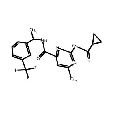 Cc1cc(C(=O)NC(C)c2cccc(C(F)(F)F)c2)nc(NC(=O)C2CC2)n1